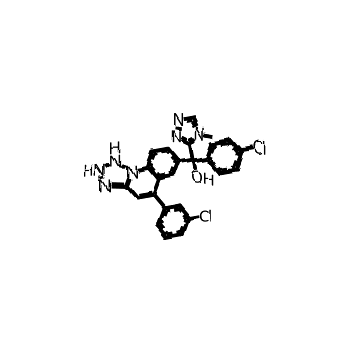 Cn1cnnc1C(O)(c1ccc(Cl)cc1)c1ccc2c(c1)C(c1cccc(Cl)c1)=CC1=NNNN12